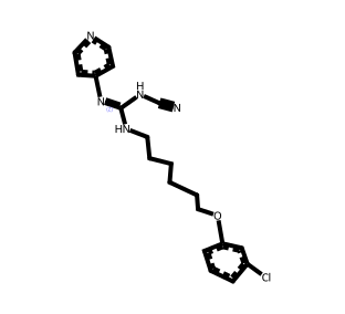 N#CN/C(=N\c1ccncc1)NCCCCCCOc1cccc(Cl)c1